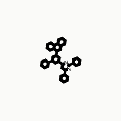 c1ccc(-c2cc(-c3cc(-c4ccccc4)nc(-c4ccccc4)n3)cc(-c3cc4ccccc4c4ccccc34)c2)cc1